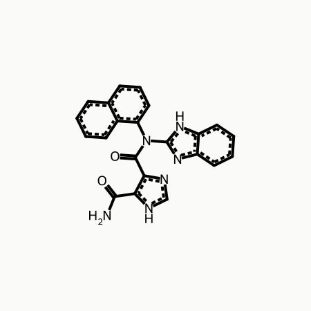 NC(=O)c1[nH]cnc1C(=O)N(c1nc2ccccc2[nH]1)c1cccc2ccccc12